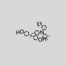 CCc1cccc(N(c2ccc(CC(C)(c3ccc(O)cc3)c3ccc(O)cc3)cc2)c2ccc(C)c(C)c2)c1